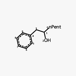 CCCCCC(O)Cc1ccccc1